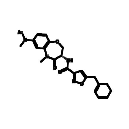 CC(=O)N(C)c1ccc2c(c1)N(C)C(=O)[C@@H](NC(=O)c1cc(CC3=CC=CCC3)on1)CO2